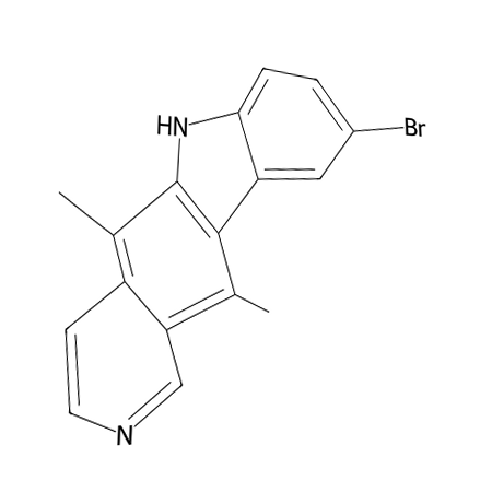 Cc1c2ccncc2c(C)c2c1[nH]c1ccc(Br)cc12